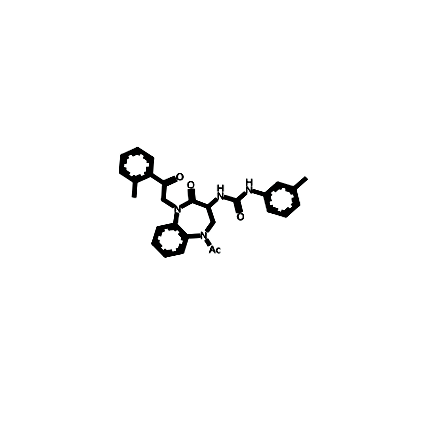 CC(=O)N1CC(NC(=O)Nc2cccc(C)c2)C(=O)N(CC(=O)c2ccccc2C)c2ccccc21